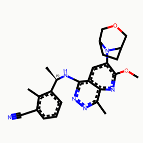 COc1nc2c(C)nnc(N[C@H](C)c3cccc(C#N)c3C)c2cc1N1C2CCC1COC2